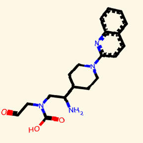 NC(CN(CC=O)C(=O)O)C1CCN(c2ccc3ccccc3n2)CC1